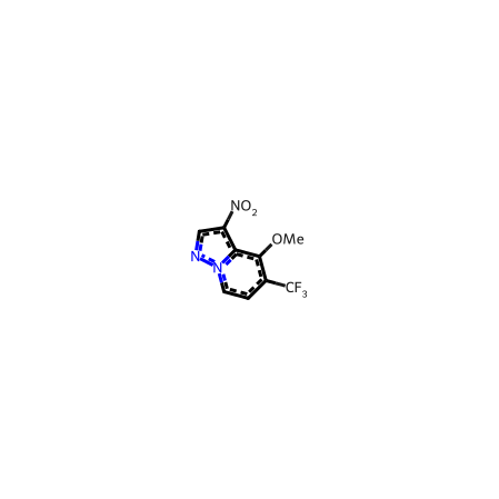 COc1c(C(F)(F)F)ccn2ncc([N+](=O)[O-])c12